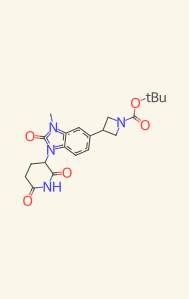 Cn1c(=O)n(C2CCC(=O)NC2=O)c2ccc(C3CN(C(=O)OC(C)(C)C)C3)cc21